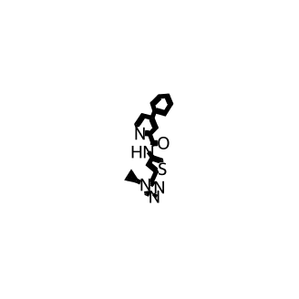 O=C(Nc1csc(-c2nncn2C2CC2)c1)c1cc(-c2ccccc2)ccn1